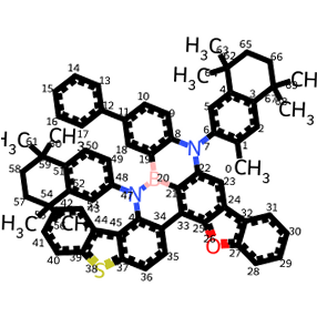 Cc1cc2c(cc1N1c3ccc(-c4ccccc4)cc3B3c4c1cc1c(oc5ccccc51)c4-c1ccc4sc5ccccc5c4c1N3c1ccc3c(c1)C(C)(C)CCC3(C)C)C(C)(C)CCC2(C)C